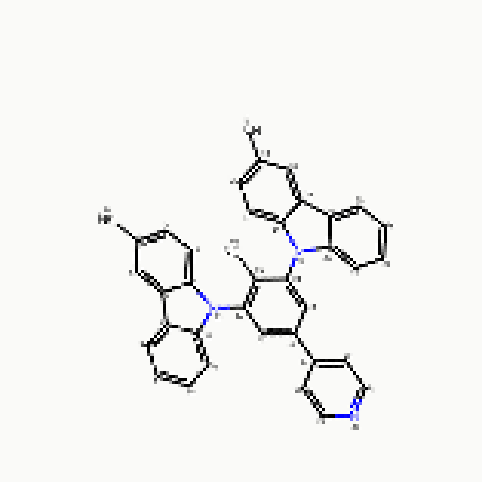 N#Cc1ccc2c(c1)c1ccccc1n2-c1cc(-c2ccncc2)cc(-n2c3ccccc3c3cc(C#N)ccc32)c1C#N